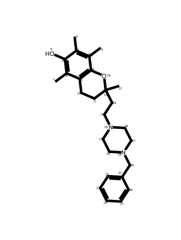 Cc1c(C)c2c(c(C)c1O)CCC(C)(CCN1CCN(Cc3ccccc3)CC1)O2